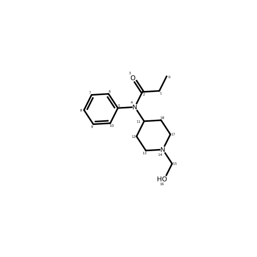 CCC(=O)N(c1ccccc1)C1CCN(CO)CC1